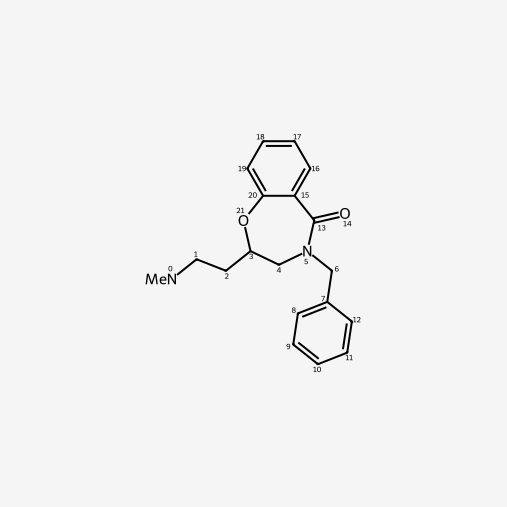 CNCCC1CN(Cc2ccccc2)C(=O)c2ccccc2O1